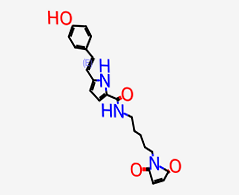 O=C(NCCCCCN1C(=O)C=CC1=O)c1ccc(/C=C/c2ccc(O)cc2)[nH]1